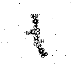 O=C(N[C@@H]1CCN(C(=O)[C@@H]2C[C@@H](S)CN2C(=O)OCc2ccc([N+](=O)[O-])cc2)C1)OCc1ccc([N+](=O)[O-])cc1